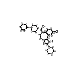 O=C(C1CCN(c2ccccn2)CC1)N1CCc2nc(N3CCCCC3)[nH]c2-c2cc(Cl)ccc21